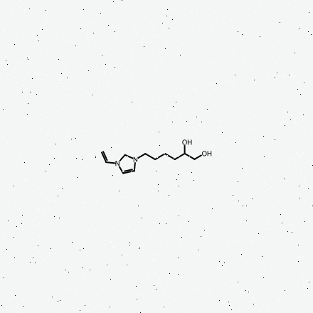 C=CN1C=CN(CCCCC(O)CO)C1